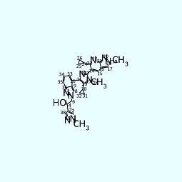 Cn1cc([C@@H](O)Cn2cc3c(-c4nc(-c5cc6cn(C)nc6nc5C5CC5)n(C)c4C4CC4)cccc3n2)cn1